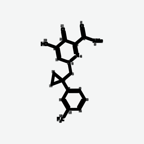 CNC(=O)c1nn(CC2(c3cccc(C(F)(F)F)c3)CC2)cc(O)c1=O